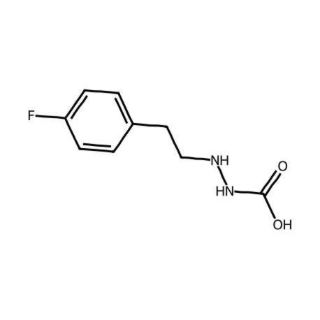 O=C(O)NNCCc1ccc(F)cc1